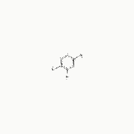 Brc1[c]c(Br)c(Br)[c]c1